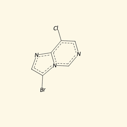 Clc1cncn2c(Br)cnc12